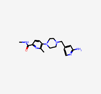 CNC(=O)c1ccc(N2CCN(Cc3ccnc(N)c3)CC2)c(C)n1